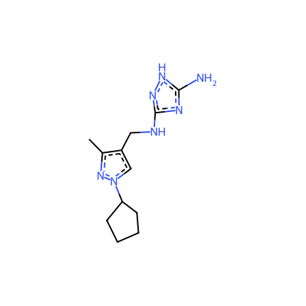 Cc1nn(C2CCCC2)cc1CNc1n[nH]c(N)n1